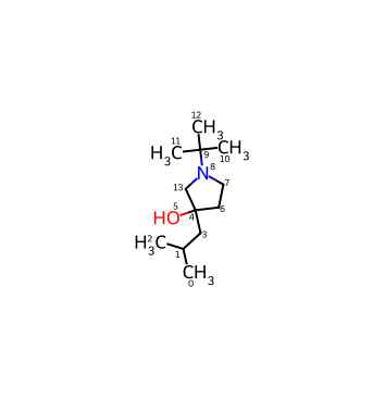 CC(C)CC1(O)CCN(C(C)(C)C)C1